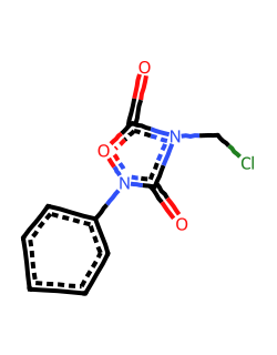 O=c1on(-c2ccccc2)c(=O)n1CCl